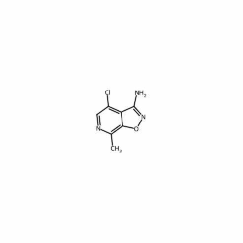 Cc1ncc(Cl)c2c(N)noc12